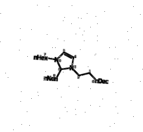 CCCCCCCCCCCCN1C=CN(CCCCCC)C1CCCCCCCCC